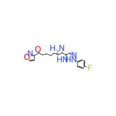 N=C(/C=N\Nc1ccc(F)cc1)C(N)CCCCCC(=O)c1ccon1